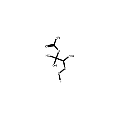 CCCCC(SS[S])C(O)(O)OC(=O)CCC